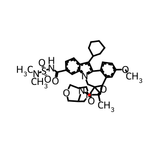 COc1ccc2c(c1)C1CC1(C(=O)N1C3COCC1CN(C(C)=O)C3)Cn1c-2c(C2CCCCC2)c2ccc(C(=O)NS(=O)(=O)N(C)C)cc21